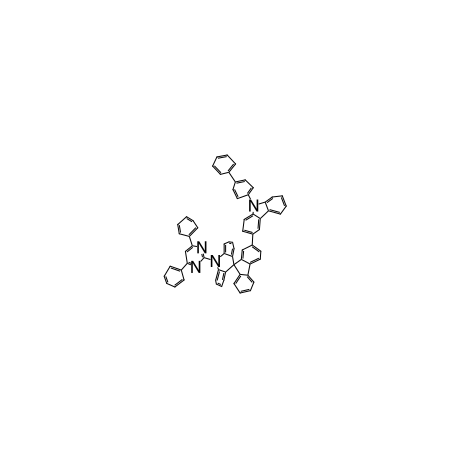 c1ccc(-c2ccc(-n3c4ccccc4c4cc(-c5ccc6c(c5)C5(c7ccccc7-6)c6ccccc6N(c6nc(-c7ccccc7)cc(-c7ccccc7)n6)c6ccccc65)ccc43)cc2)cc1